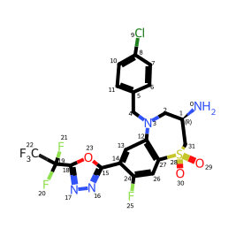 N[C@@H]1CN(Cc2ccc(Cl)cc2)c2cc(-c3nnc(C(F)(F)C(F)(F)F)o3)c(F)cc2S(=O)(=O)C1